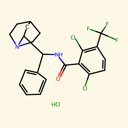 Cl.O=C(NC(c1ccccc1)C1CC2CCN1CC2)c1c(Cl)ccc(C(F)(F)F)c1Cl